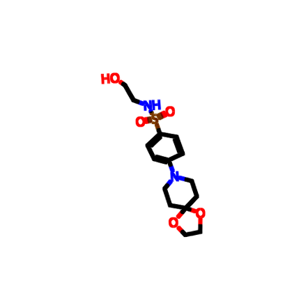 O=S(=O)(NCCO)c1ccc(N2CCC3(CC2)OCCO3)cc1